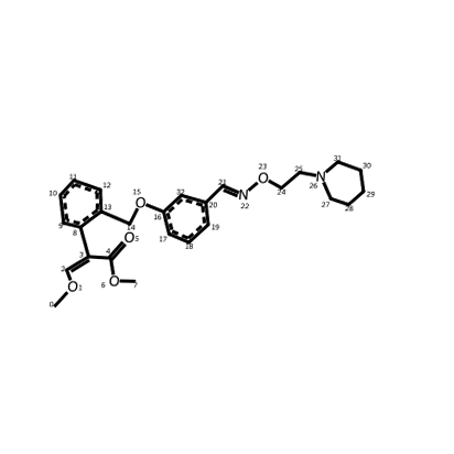 COC=C(C(=O)OC)c1ccccc1COc1cccc(C=NOCCN2CCCCC2)c1